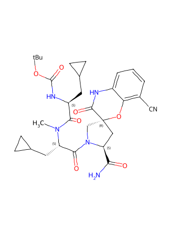 CN(C(=O)[C@H](CC1CC1)NC(=O)OC(C)(C)C)[C@@H](CC1CC1)C(=O)N1C[C@@]2(C[C@H]1C(N)=O)Oc1c(C#N)cccc1NC2=O